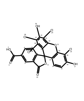 O=C(O)c1ccc2c(c1)C(=O)OC21c2ccc(O)c(Cl)c2Oc2c(Cl)c(O)c(Cl)c(Cl)c21